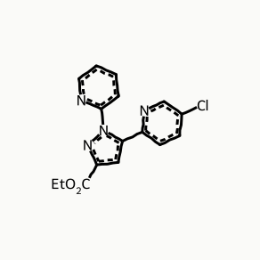 CCOC(=O)c1cc(-c2ccc(Cl)cn2)n(-c2ccccn2)n1